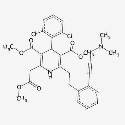 COC(=O)CC1=C(C(=O)OC)C(c2c(Cl)cccc2Cl)C(C(=O)OC)=C(CCc2ccccc2C#CCN(C)C)N1